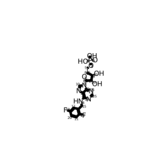 O=P(O)(O)OC[C@H]1O[C@@H](n2cnc3c(NCc4cc(F)ccc4F)ncnc32)[C@H](O)[C@@H]1O